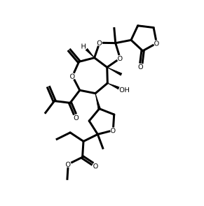 C=C(C)C(=O)C1OC(=C)[C@@H]2OC(C)(C3CCOC3=O)O[C@]2(C)[C@@H](O)[C@H]1C1COC(C)(C(CC)C(=O)OC)C1